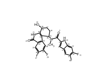 CN(C(=O)c1cc2cc(F)c(F)cc2[nH]1)[C@@H]1CC[C@H](O)c2[nH]c(=O)c3cc(F)c(F)cc3c21